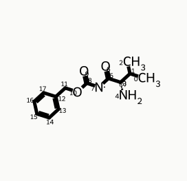 CC(C)[C@H](N)C(=O)[N]C(=O)OCc1ccccc1